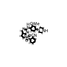 COc1cc(N2CCNCC2)ccc1Nc1ncc2ccn(S(=O)(=O)c3ccccc3C#N)c2n1